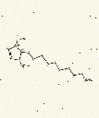 CCCCCCCCCCCCCCCCCCCC1N(CCCCCCCCCC)C=CN1CCCCCCCCCC